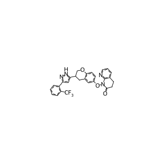 O=C1CCc2cccnc2N1Oc1ccc2c(c1)CC(c1cc(-c3ccccc3C(F)(F)F)n[nH]1)CO2